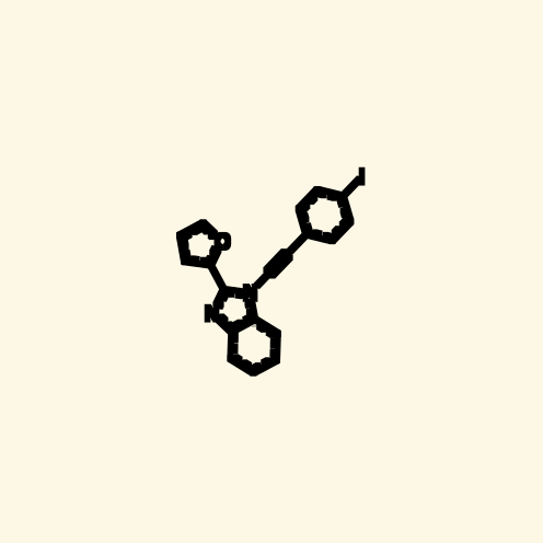 Ic1ccc(C#Cn2c(-c3ccco3)nc3ccccc32)cc1